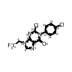 O=c1c2ncn(CC(F)(F)F)c2nc(Cl)n1-c1ccc(Cl)cc1